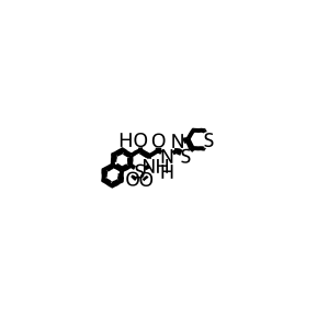 O=C(Nc1nc2c(s1)CSCC2)C1=C(O)c2ccc3ccccc3c2S(=O)(=O)N1